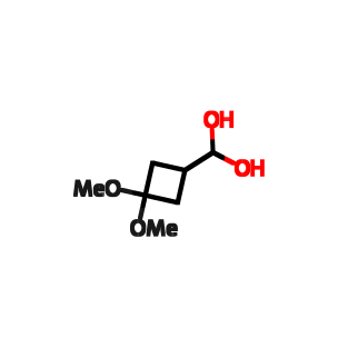 COC1(OC)CC(C(O)O)C1